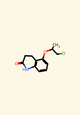 CC(CCl)Oc1cccc2c1CCC(=O)N2